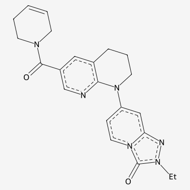 CCn1nc2cc(N3CCCc4cc(C(=O)N5CC=CCC5)cnc43)ccn2c1=O